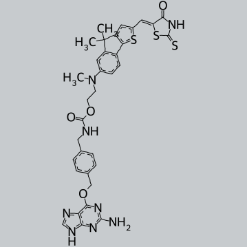 CN(CCOC(=O)NCc1ccc(COc2nc(N)nc3[nH]cnc23)cc1)c1ccc2c(c1)C(C)(C)c1cc(/C=C3\SC(=S)NC3=O)sc1-2